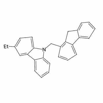 CCc1ccc2c(c1)c1ccccc1n2Cc1cccc2c1Cc1ccccc1-2